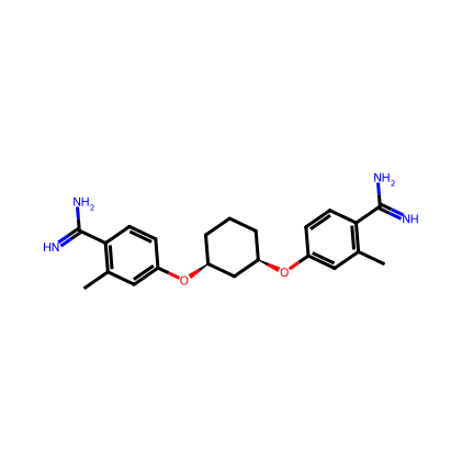 Cc1cc(O[C@@H]2CCC[C@H](Oc3ccc(C(=N)N)c(C)c3)C2)ccc1C(=N)N